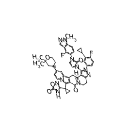 Cn1ncc2c(F)c(-n3ccn(-c4c5c(nn4-c4ccc(F)c(C6CC6)c4)CCN4C(=O)c6c(c7cc([C@@H]8CCOC(C)(C)C8)ccn7c6C6(c7noc(=O)[nH]7)CC6)C[C@@H]54)c3=O)ccc21